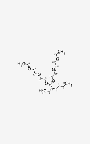 CCCCC(CC)C(OCCOCCOCC)OCCOCCOCC